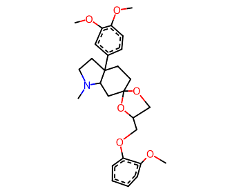 COc1ccc(C23CCN(C)C2CC2(CC3)OCC(COc3ccccc3OC)O2)cc1OC